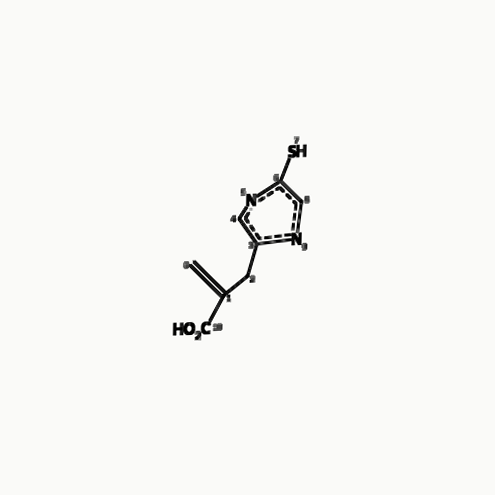 C=C(Cc1cnc(S)cn1)C(=O)O